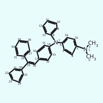 CN(C)c1ccc(N(c2ccccc2)c2ccc(C=C(c3ccccc3)c3ccccc3)cc2)cc1